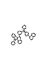 c1ccc(N(c2ccc(-c3cccc4ccccc34)cc2)c2cccc(-c3cc4ccccc4c4c3c3ccccc3n4-c3ccccc3)c2)cc1